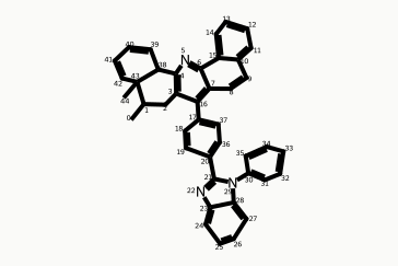 CC1Cc2c(nc3c(ccc4ccccc43)c2-c2ccc(-c3nc4ccccc4n3-c3ccccc3)cc2)C2C=CC=CC12C